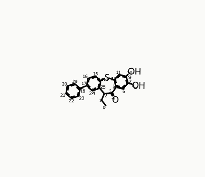 CCC1C(=O)c2cc(O)c(O)cc2Sc2ccc(-c3ccccc3)cc21